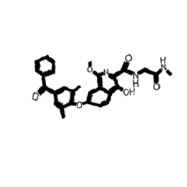 CNC(=O)CNC(=O)c1nc(OC)c2cc(Oc3c(C)cc(C(=O)c4ccccc4)cc3C)ccc2c1O